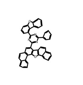 c1ccc(-c2nc(-c3cccc4oc5ccccc5c34)nc(-c3cc4ccc5ccccc5c4c4oc5c6ccccc6ccc5c34)n2)cc1